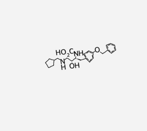 O=C(O)N[C@@H](Cc1ccc(OCc2ccccc2)cc1)[C@H](O)CNCC1CCCC1